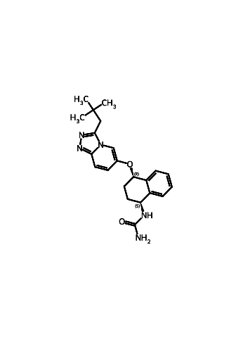 CC(C)(C)Cc1nnc2ccc(O[C@@H]3CC[C@H](NC(N)=O)c4ccccc43)cn12